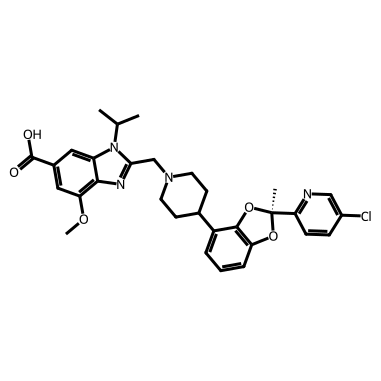 COc1cc(C(=O)O)cc2c1nc(CN1CCC(c3cccc4c3O[C@@](C)(c3ccc(Cl)cn3)O4)CC1)n2C(C)C